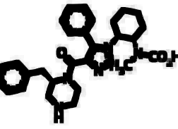 CN(C(=O)O)[C@H]1CCCC[C@@H]1n1cnc(C(=O)N2CCNC[C@H]2Cc2ccccc2)c1-c1ccccc1